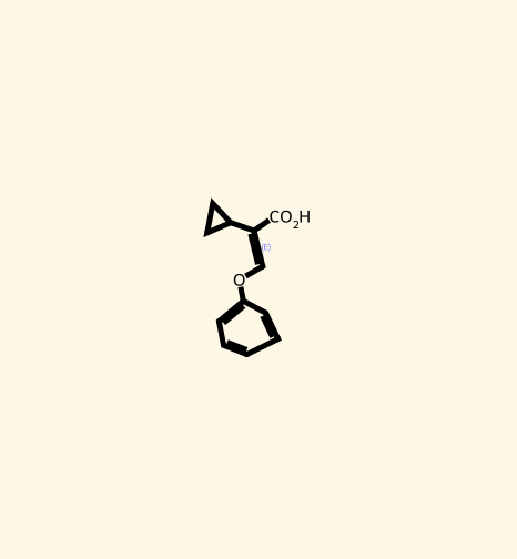 O=C(O)/C(=C/Oc1ccccc1)C1CC1